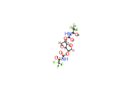 O=C(NC(=O)C(F)(F)F)OC1COC2C(OC(=O)NC(=O)C(F)(F)F)COC12